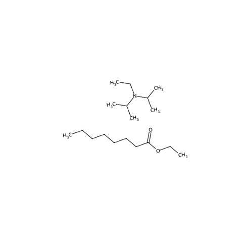 CCCCCCCC(=O)OCC.CCN(C(C)C)C(C)C